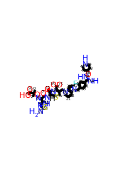 CC(C)(O/N=C(\C(=O)N[C@@H]1C(=O)N2C(C(=O)[O-])=C(C[n+]3cccc4c3ccn4Cc3ccc(C(=N)NOC4CCNCC4)cc3F)CS[C@H]12)c1nsc(N)n1)C(=O)O